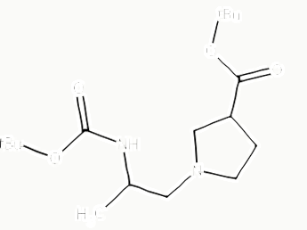 CC(CN1CCC(C(=O)OC(C)(C)C)C1)NC(=O)OC(C)(C)C